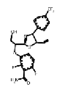 C=CC1OC(C(CO)Oc2ccc(F)c(C(N)=O)c2F)=NC1c1ccc(C(F)(F)F)cc1